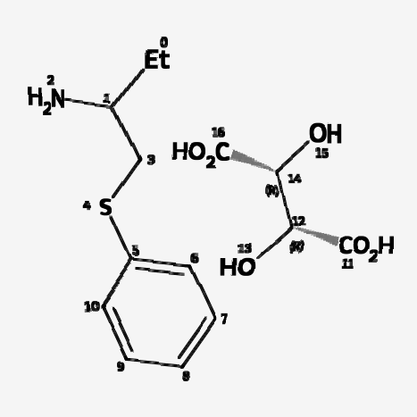 CCC(N)CSc1ccccc1.O=C(O)[C@H](O)[C@@H](O)C(=O)O